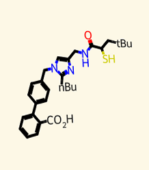 CCCCc1nc(CNC(=O)C(S)CC(C)(C)C)cn1Cc1ccc(-c2ccccc2C(=O)O)cc1